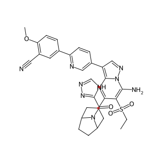 CCS(=O)(=O)c1c(C2CC3CCC(C2)N3C(=O)c2nnc[nH]2)nc2c(-c3ccc(-c4ccc(OC)c(C#N)c4)nc3)cnn2c1N